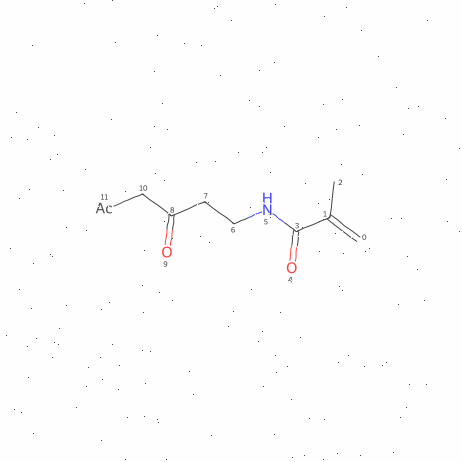 C=C(C)C(=O)NCCC(=O)CC(C)=O